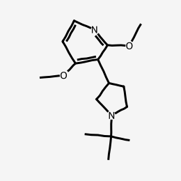 COc1ccnc(OC)c1C1CCN(C(C)(C)C)C1